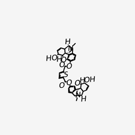 CN1CC[C@]23c4c5ccc(OC(=O)c6ccc(C(=O)Oc7ccc8c9c7O[C@H]7C(O)C=CC%10[C@@H](C8)N(C)CC[C@@]9%107)s6)c4O[C@H]2C(O)C=CC3[C@H]1C5